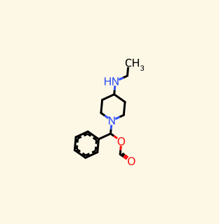 CCNC1CCN(C(OC=O)c2ccccc2)CC1